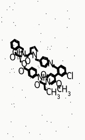 CCC(C(=O)Nc1ccc(C(=O)OC[C@@H](C(=O)O)N(Cc2ccccc2)C(=O)C2CCCN2Cc2ccccc2)cc1)n1cc(OC)c(-c2cc(Cl)ccc2C#N)cc1=O